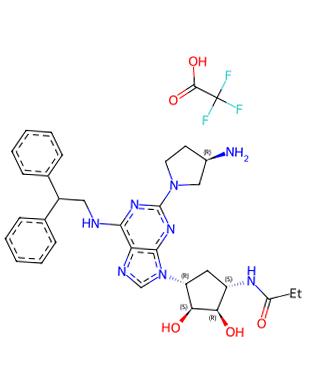 CCC(=O)N[C@H]1C[C@@H](n2cnc3c(NCC(c4ccccc4)c4ccccc4)nc(N4CC[C@@H](N)C4)nc32)[C@H](O)[C@@H]1O.O=C(O)C(F)(F)F